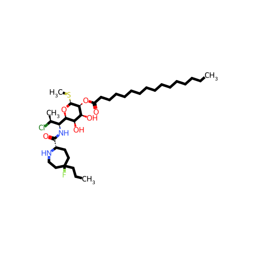 CCCCCCCCCCCCCCCC(=O)O[C@@H]1[C@@H](O)[C@@H](O)[C@@H]([C@H](NC(=O)[C@@H]2CCC(F)(CCC)CCN2)[C@H](C)Cl)O[C@@H]1SC